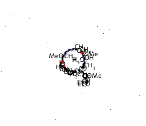 CCOP(=O)(OCC)O[C@@H]1CCC(C[C@@H](C)C2CC(=O)[C@H](C)/C=C(\C)[C@@H](O)[C@@H](OC)C(=O)[C@H](C)C[C@H](C)/C=C/C=C/C=C(\C)[C@@H](OC)C[C@@H]3CC[C@@H](C)C(O)(O3)C(=O)C(=O)N3CCCCC3C(=O)O2)C[C@H]1OC